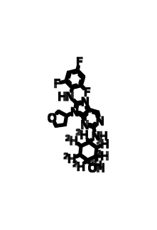 [2H]C1C([2H])C([2H])(O)C([2H])([2H])C([2H])C1([2H])Nc1ncc2nc(Nc3c(F)cc(F)cc3F)n(C3CCOC3)c2n1